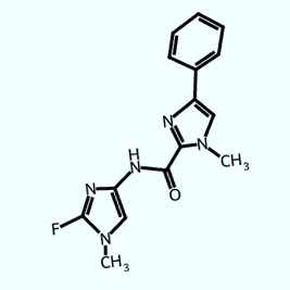 Cn1cc(NC(=O)c2nc(-c3ccccc3)cn2C)nc1F